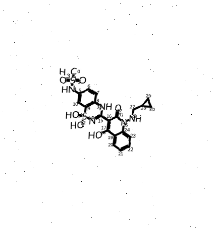 CS(=O)(=O)Nc1ccc2c(c1)S(O)(O)N=C(c1c(O)c3ccccc3n(NCC3CC3)c1=O)N2